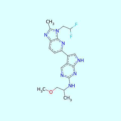 COCC(C)Nc1ncc2c(-c3ccc4nc(C)n(CC(F)F)c4n3)c[nH]c2n1